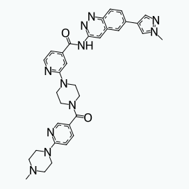 CN1CCN(c2ccc(C(=O)N3CCN(c4cc(C(=O)Nc5cc6cc(-c7cnn(C)c7)ccc6nn5)ccn4)CC3)cn2)CC1